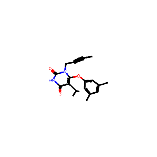 CC#CCn1c(Oc2cc(C)cc(C)c2)c(C(C)C)c(=O)[nH]c1=O